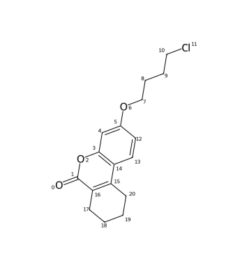 O=c1oc2cc(OCCCCCl)ccc2c2c1CCCC2